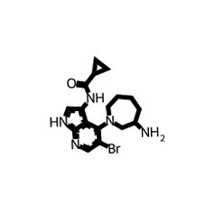 NC1CCCCN(c2c(Br)cnc3[nH]cc(NC(=O)C4CC4)c23)C1